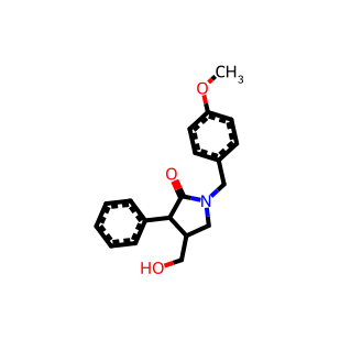 COc1ccc(CN2CC(CO)C(c3ccccc3)C2=O)cc1